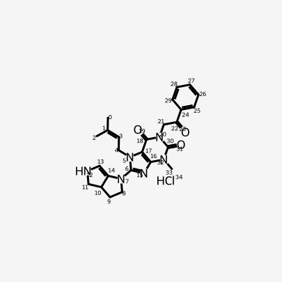 CC(C)=CCn1c(N2CCC3CNC=C32)nc2c1c(=O)n(CC(=O)c1ccccc1)c(=O)n2C.Cl